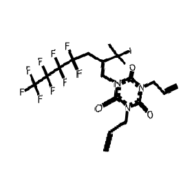 C=CCn1c(=O)n(CC=C)c(=O)n(CC(CC(F)(F)C(F)(F)C(F)(F)C(F)(F)F)C(C)(C)I)c1=O